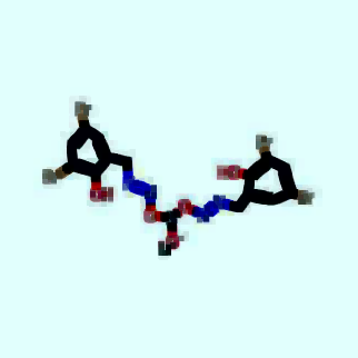 [Li+].[O-]B(ON=NCc1cc(Br)cc(Br)c1O)ON=NCc1cc(Br)cc(Br)c1O